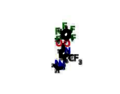 O=C(Oc1c(F)c(F)c(F)c(F)c1F)c1ccc(Cn2cccn2)c(C(F)(F)F)n1